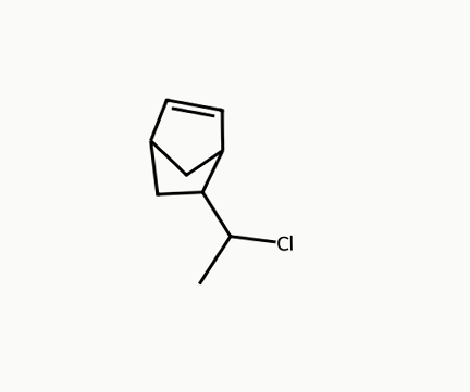 CC(Cl)C1CC2C=CC1C2